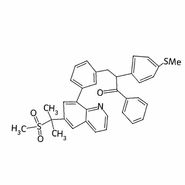 CSc1ccc(C(Cc2cccc(-c3cc(C(C)(C)S(C)(=O)=O)cc4cccnc34)c2)C(=O)c2ccccc2)cc1